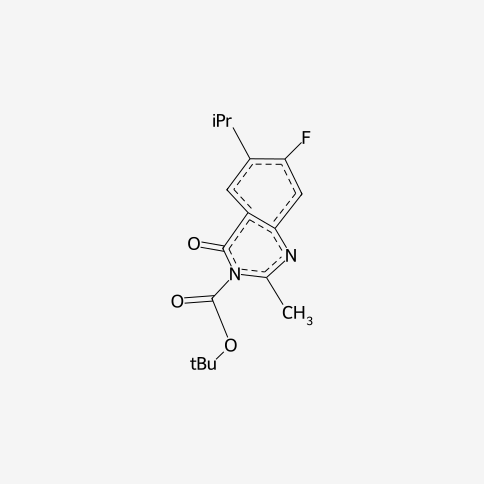 Cc1nc2cc(F)c(C(C)C)cc2c(=O)n1C(=O)OC(C)(C)C